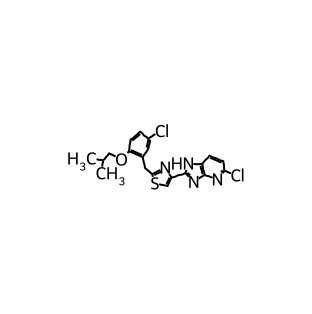 CC(C)COc1ccc(Cl)cc1Cc1nc(-c2nc3nc(Cl)ccc3[nH]2)cs1